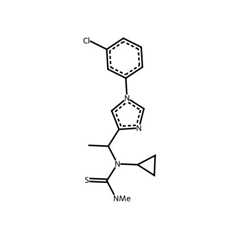 CNC(=S)N(C1CC1)C(C)c1cn(-c2cccc(Cl)c2)cn1